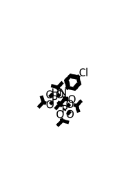 CC(C)OP(=O)(OC(C)C)C(C)(C(=O)Nc1ccc(Cl)cc1)P(=O)(OC(C)C)OC(C)C